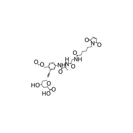 CC(NC(=O)CNC(=O)CCCCCN1C(=O)C=CC1=O)C(=O)Nc1ccc(COC=O)c(C#C[C@H]2CC(O)CC(C(=O)O)O2)c1